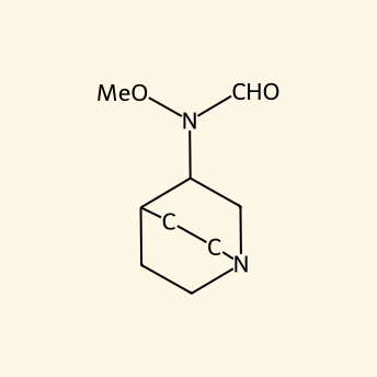 CON(C=O)C1CN2CCC1CC2